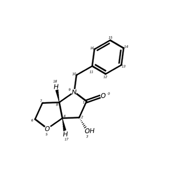 O=C1[C@H](O)[C@@H]2OCC[C@@H]2N1Cc1ccccc1